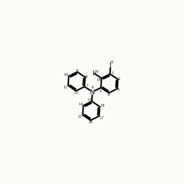 Ic1cccc(N(c2ccccc2)c2ccccc2)c1I